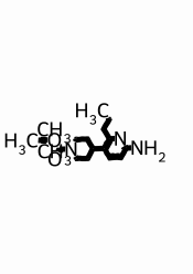 CCCc1nc(N)ccc1C1CCN(C(=O)OC(C)(C)C)CC1